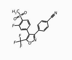 CS(=O)(=O)c1ccc(-c2c(-c3ccc(C#N)cc3)noc2C(F)(F)F)cc1F